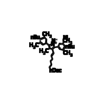 CCCCCCCCCCCCCCC=CC1=C(c2cc(C)c(CCCC)c(C)c2)[N+](=[N-])C(c2cc(C)c(CCCC)c(C)c2)=C1C.[Ni]